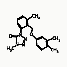 Cc1ccc(OCc2c(C)cccc2-n2nnn(C)c2=O)cc1C